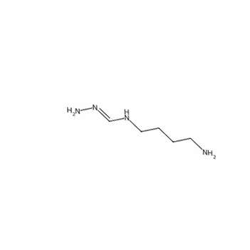 NCCCCNC=NN